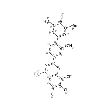 Cc1cc(C(F)=CC(c2cc(Cl)c(Cl)c(Cl)c2)C(F)(F)F)ccc1C(=O)NN(C)C(=O)OC(C)(C)C